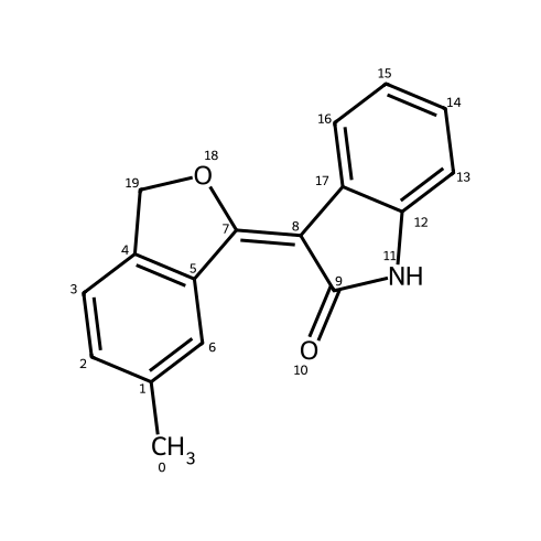 Cc1ccc2c(c1)/C(=C1\C(=O)Nc3ccccc31)OC2